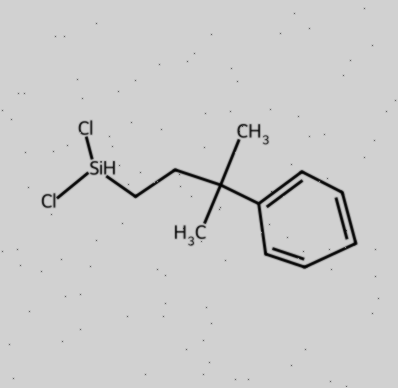 CC(C)(CC[SiH](Cl)Cl)c1ccccc1